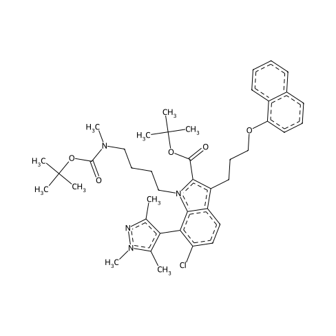 Cc1nn(C)c(C)c1-c1c(Cl)ccc2c(CCCOc3cccc4ccccc34)c(C(=O)OC(C)(C)C)n(CCCCN(C)C(=O)OC(C)(C)C)c12